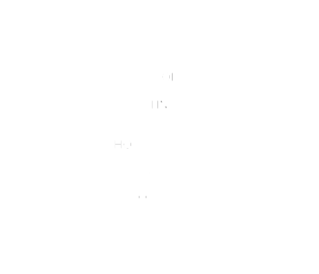 CC(=CNO)C(=O)O